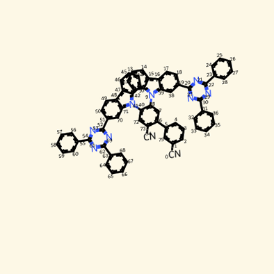 N#Cc1cccc(-c2cc(-n3c4ccccc4c4ccc(-c5nc(-c6ccccc6)nc(-c6ccccc6)n5)cc43)c(-n3c4ccccc4c4ccc(-c5nc(-c6ccccc6)nc(-c6ccccc6)n5)cc43)cc2C#N)c1